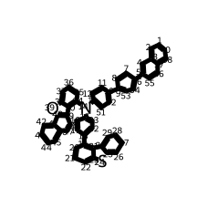 c1ccc2cc(-c3ccc(-c4ccc(N(c5ccc(-c6cccc7sc8ccccc8c67)cc5)c5cccc6oc7c8ccccc8ccc7c56)cc4)cc3)ccc2c1